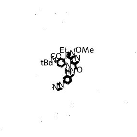 CCc1cc2c(N[C@H]3CC[C@H](N(C(=O)O)C(C)(C)C)CC3)c(C(=O)NCc3ccc(-n4ccnc4)cc3)cnc2n1COC